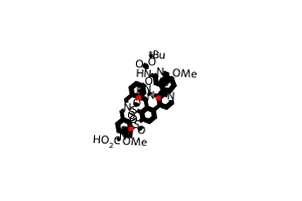 COc1ccc(CN(Cc2ccc(OC)cc2)S(=O)(=O)c2c(S(=O)(=O)C3CN(C(=O)O)C3)ccc(-c3ccnc(-c4ccnc(NC(=O)OC(C)(C)C)c4)c3)c2-c2nnnn2Cc2ccc(OC)cc2)cc1